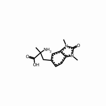 Cn1c(=O)n(C)c2cc(CC(C)(N)C(=O)O)ccc21